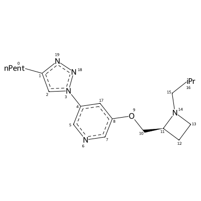 CCCCCc1cn(-c2cncc(OC[C@@H]3CCN3CC(C)C)c2)nn1